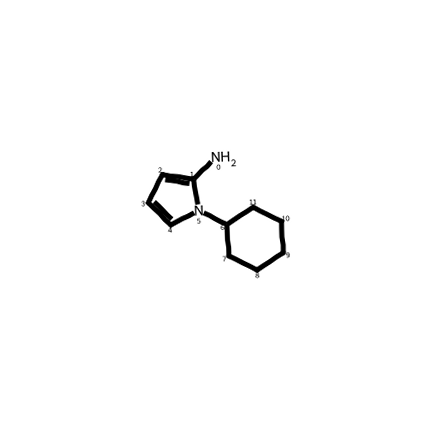 Nc1cccn1C1CCCCC1